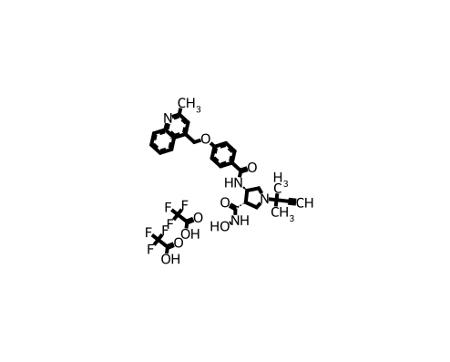 C#CC(C)(C)N1C[C@H](C(=O)NO)[C@H](NC(=O)c2ccc(OCc3cc(C)nc4ccccc34)cc2)C1.O=C(O)C(F)(F)F.O=C(O)C(F)(F)F